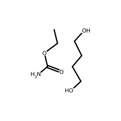 CCOC(N)=O.OCCCCO